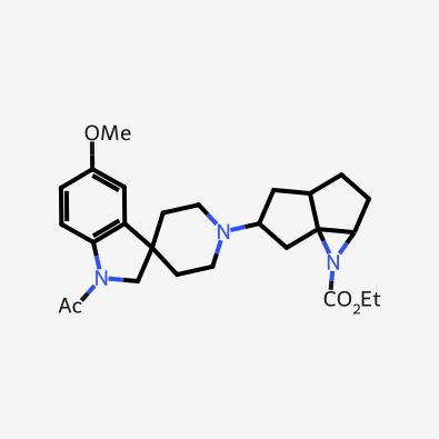 CCOC(=O)N1C2CCC3CC(N4CCC5(CC4)CN(C(C)=O)c4ccc(OC)cc45)CC321